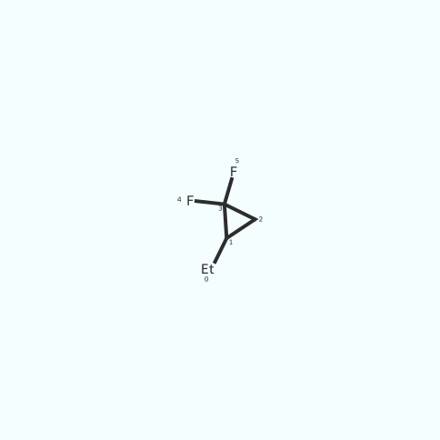 [CH2]CC1CC1(F)F